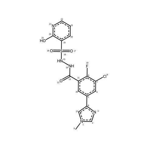 Cn1cnc(-c2cc(Cl)c(F)c(C(=O)NNS(=O)(=O)c3cccnc3O)c2)c1